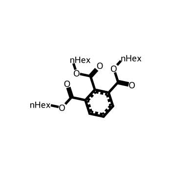 CCCCCCOC(=O)c1cccc(C(=O)OCCCCCC)c1C(=O)OCCCCCC